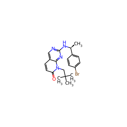 C[C@H](Nc1ncc2ccc(=O)n(CC(C)(C)C)c2n1)c1ccc(Br)cc1